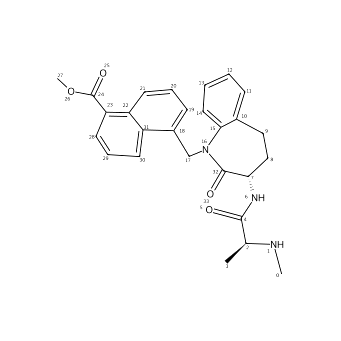 CN[C@@H](C)C(=O)N[C@H]1CCc2ccccc2N(Cc2cccc3c(C(=O)OC)cccc23)C1=O